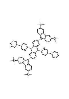 C[Si](C)(C)c1ccc2c(c1)c1cc([Si](C)(C)C)ccc1n2-c1ccc2c(-c3ccc(-c4ccccc4)cn3)c3cc(-n4c5ccc([Si](C)(C)C)cc5c5cc([Si](C)(C)C)ccc54)ccc3c(-c3ccc(-c4ccccc4)cn3)c2c1